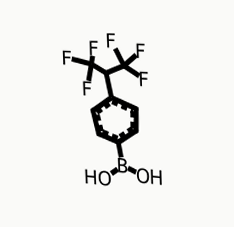 OB(O)c1ccc(C(C(F)(F)F)C(F)(F)F)cc1